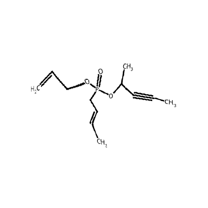 C=CCOP(=O)(CC=CC)OC(C)C#CC